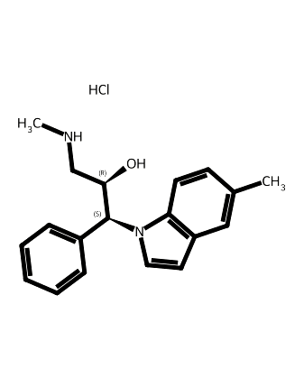 CNC[C@@H](O)[C@H](c1ccccc1)n1ccc2cc(C)ccc21.Cl